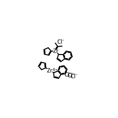 C1=CC[C]([Zr+4][CH]2C=Cc3ccccc32)=C1.C[C](C)=[Zr]([C]1=CC=CC1)[CH]1C=Cc2ccccc21.[Cl-].[Cl-].[Cl-].[Cl-]